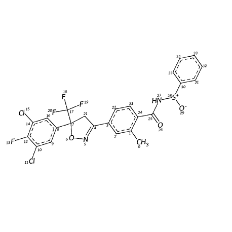 Cc1cc(C2=NOC(c3cc(Cl)c(F)c(Cl)c3)(C(F)(F)F)C2)ccc1C(=O)N[S+]([O-])c1ccccc1